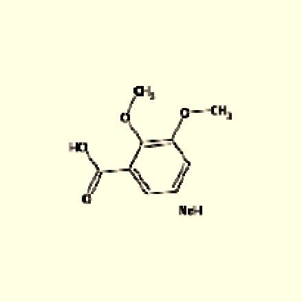 COc1cccc(C(=O)O)c1OC.[NaH]